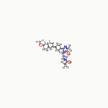 CC(C)OC1=Cc2ccc(C3=CC(C)C(C4=NC5(CC5)C(=O)N4CC4CN(C(=O)C5(C)CC5)C4)C=C3)cc2CC1